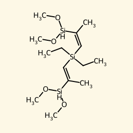 CC[Si](C=C(C)[SiH](OC)OC)(C=C(C)[SiH](OC)OC)CC